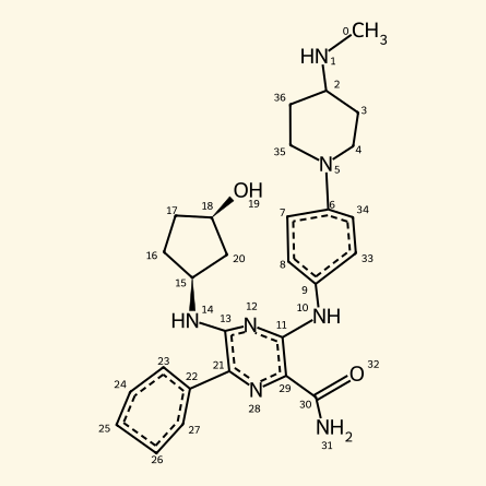 CNC1CCN(c2ccc(Nc3nc(N[C@H]4CC[C@@H](O)C4)c(-c4ccccc4)nc3C(N)=O)cc2)CC1